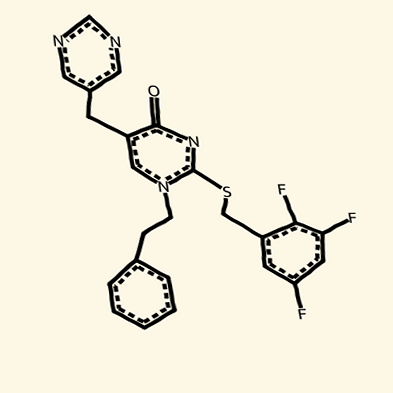 O=c1nc(SCc2cc(F)cc(F)c2F)n(CCc2ccccc2)cc1Cc1cncnc1